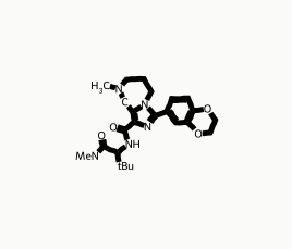 CNC(=O)C(NC(=O)c1nc(-c2ccc3c(c2)OCCO3)n2c1CN(C)CCC2)C(C)(C)C